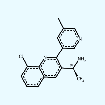 Cc1cncc(-c2nc3c(Cl)cccc3cc2[C@@H](N)C(F)(F)F)c1